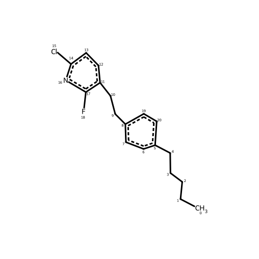 CCCCCc1ccc(CCc2ccc(Cl)nc2F)cc1